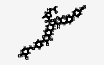 CC(=O)Nc1nc(C)c(S(=O)(=O)N2Cc3cc4c(cc3CC2C(=O)NC(Cc2ccc(-c3ccc(C#N)cc3)cc2)C(=O)O)NC(=O)C(c2ccc(OCc3ccc(Cl)c(Cl)c3)cc2)O4)s1